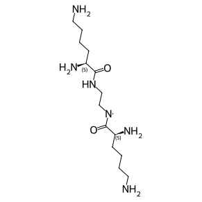 NCCCC[C@H](N)C(=O)[N]CCNC(=O)[C@@H](N)CCCCN